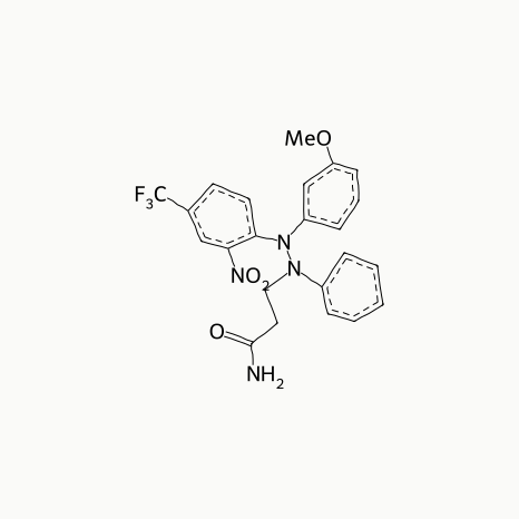 COc1cccc(N(c2ccc(C(F)(F)F)cc2[N+](=O)[O-])N(CCC(N)=O)c2ccccc2)c1